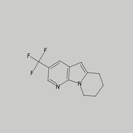 FC(F)(F)c1cnc2c(c1)cc1n2CCCC1